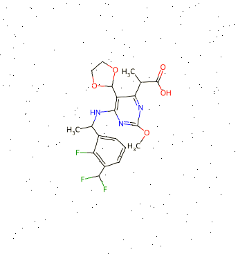 COc1nc(NC(C)c2cccc(C(F)F)c2F)c(C2OCCO2)c(C(C)C(=O)O)n1